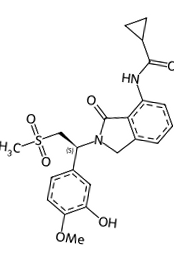 COc1ccc([C@@H](CS(C)(=O)=O)N2Cc3cccc(NC(=O)C4CC4)c3C2=O)cc1O